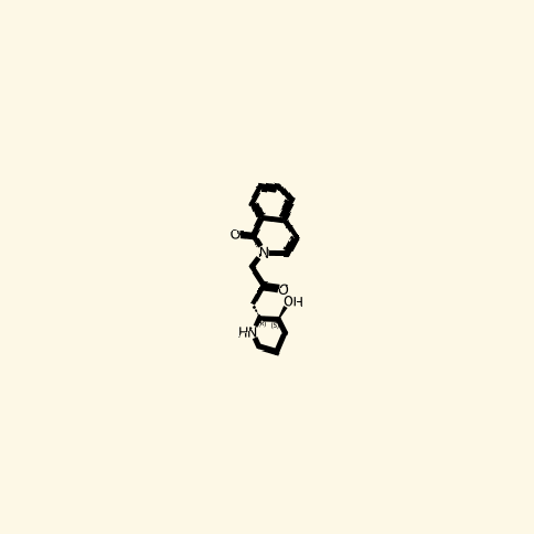 O=C(C[C@H]1NCCC[C@@H]1O)Cn1ccc2ccccc2c1=O